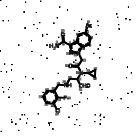 CC(=O)c1ccc2c(c1)c(C(N)=O)nn2CC(=O)N(C(C=O)CNCc1cccc(Cl)c1F)C1CC1